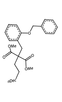 CCCCCCCCCCCCC(Cc1ccccc1OCc1ccccc1)(C(=O)OC)C(=O)OC